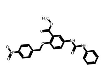 COC(=O)c1cc(NC(=O)Nc2ccccc2)ccc1OCc1ccc([N+](=O)[O-])cc1